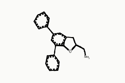 NCC1Cc2cc(-c3ccccc3)cc(-c3ccccc3)c2O1